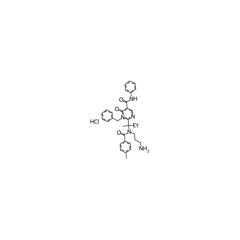 CCC(C)(c1ncc(C(=O)Nc2ccccc2)c(=O)n1Cc1ccccc1)N(CCCN)C(=O)c1ccc(C)cc1.Cl